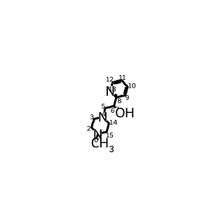 CN1CCN(CC(O)c2[c]cccn2)CC1